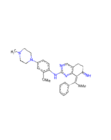 CN/C(=C1\C(=N)CCc2cnc(Nc3ccc(N4CCN(C)CC4)cc3OC)nc21)c1ccccc1